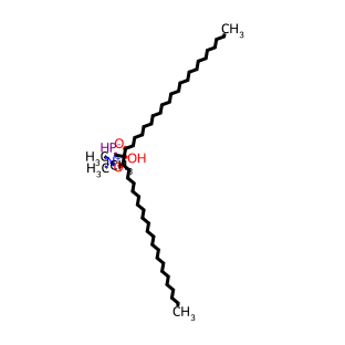 CCCCCCCCCCCCCCCCCCCCCCC(=O)C(O)(C(=O)CCCCCCCCCCCCCCCCCCCCCC)C([PH-])[N+](C)(C)C